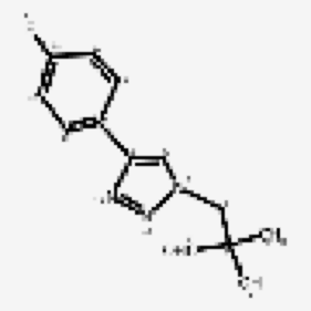 CC(O)(C=O)Cn1cc(-c2ccc(F)cc2)nn1